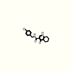 O=C(NCc1ccc(Cl)cc1)c1c[nH]c2c(c1=O)CCCC2